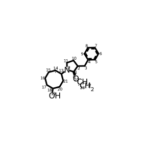 O=C1C(Cc2ccccc2)CCN1C1[CH]CCCC(O)CC1.[CH2].[CH2]